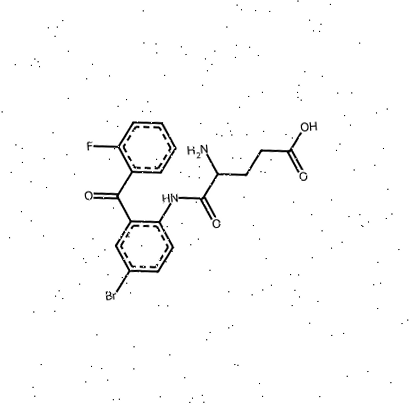 NC(CCC(=O)O)C(=O)Nc1ccc(Br)cc1C(=O)c1ccccc1F